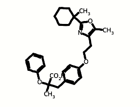 Cc1oc(C2(C)CCCCC2)nc1CCOc1ccc(CC(C)(Oc2ccccc2)C(=O)O)cc1